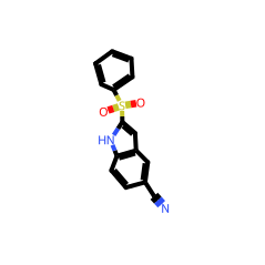 N#Cc1ccc2[nH]c(S(=O)(=O)c3ccccc3)cc2c1